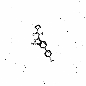 CN(C)c1ccc(-c2ccc3c(NC(=O)C4CCC4)n[nH]c3c2)cc1